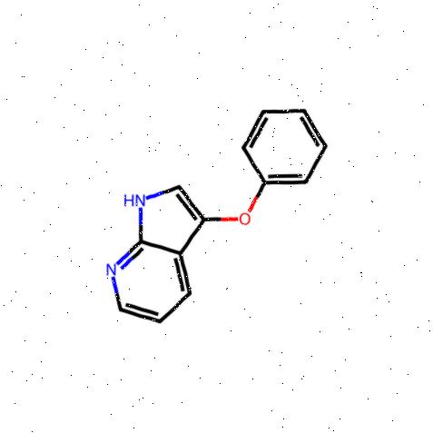 c1ccc(Oc2c[nH]c3ncccc23)cc1